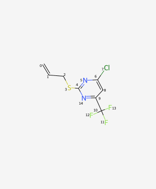 C=CCSc1nc(Cl)cc(C(F)(F)F)n1